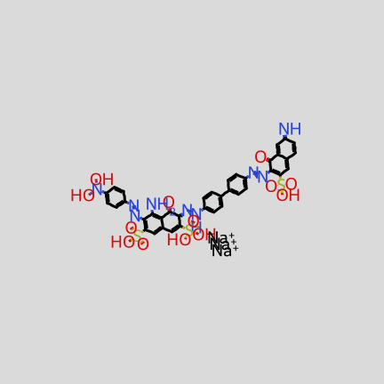 N=C1C=CC2=CC(S(=O)(=O)O)=C(N=Nc3ccc(-c4ccc(NN=C5C(=O)c6c(cc(S(=O)(=O)O)c(N=Nc7ccc(N(O)O)cc7)c6N)C=C5[S+](=O)(O)O)cc4)cc3)C(=O)C2=C1.[Na+].[Na+].[Na+]